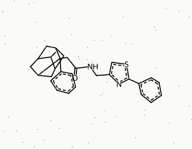 CC1C2CC3CC1CC(C2)C3(CC(=O)NCc1csc(-c2ccccc2)n1)c1ccccc1